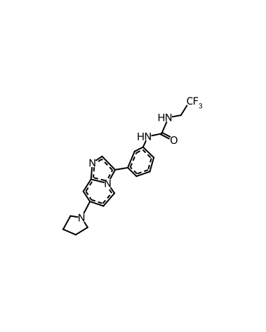 O=C(NCC(F)(F)F)Nc1cccc(-c2cnc3cc(N4CCCC4)ccn23)c1